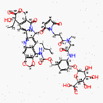 CCCCc1c2c(nc3cc4c(c(NC(=O)OCc5ccc(OC6OC(C(=O)O)C(O)C(O)C6O)c(NC(=O)CN(C)C(=O)CCN6C(=O)C=CC6=O)c5)c13)OCO4)-c1cc3c(c(=O)n1C2)COC(=O)[C@]3(O)CC